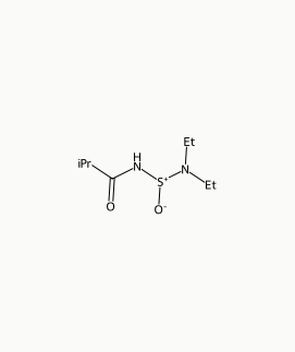 CCN(CC)[S+]([O-])NC(=O)C(C)C